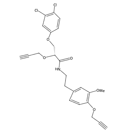 C#CCOc1ccc(CCNC(=O)[C@@H](COc2ccc(Cl)c(Cl)c2)OCC#C)cc1OC